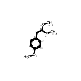 COc1ccc(CC(SC)SC)cc1